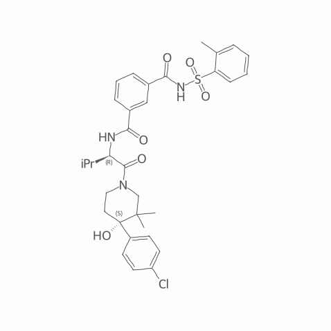 Cc1ccccc1S(=O)(=O)NC(=O)c1cccc(C(=O)N[C@@H](C(=O)N2CC[C@](O)(c3ccc(Cl)cc3)C(C)(C)C2)C(C)C)c1